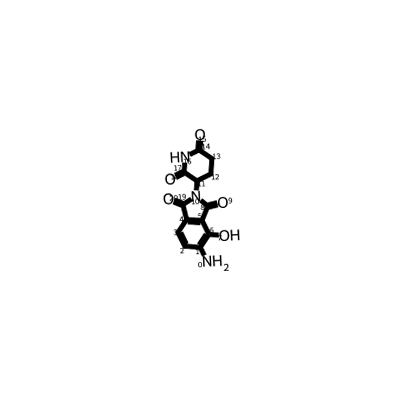 Nc1ccc2c(c1O)C(=O)N(C1CCC(=O)NC1=O)C2=O